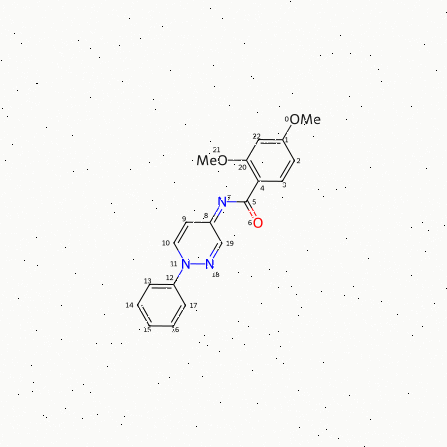 COc1ccc(C(=O)N=c2ccn(-c3ccccc3)nc2)c(OC)c1